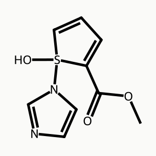 COC(=O)C1=CC=CS1(O)n1ccnc1